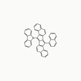 c1ccc2c(C3=C4C(=C(n5c6ccccc6c6ccccc65)c5c4ccc4ccccc54)c4ccc5ccccc5c43)cccc2c1